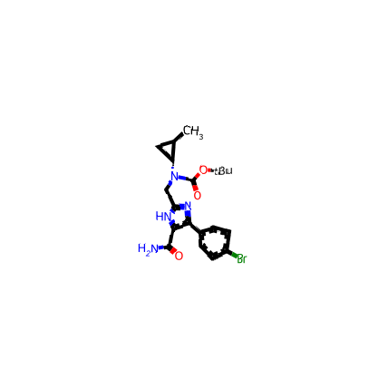 CC1C[C@H]1N(Cc1nc(-c2ccc(Br)cc2)c(C(N)=O)[nH]1)C(=O)OC(C)(C)C